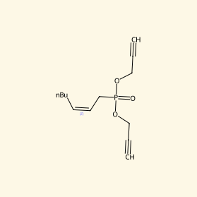 C#CCOP(=O)(C/C=C\CCCC)OCC#C